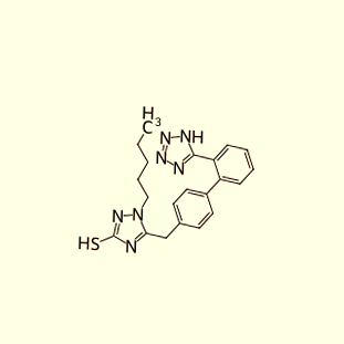 CCCCCn1nc(S)nc1Cc1ccc(-c2ccccc2-c2nnn[nH]2)cc1